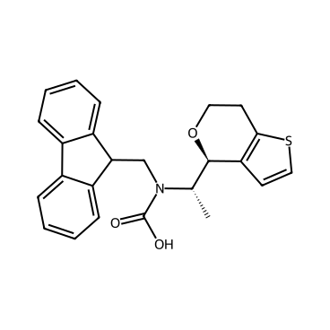 C[C@@H]([C@H]1OCCc2sccc21)N(CC1c2ccccc2-c2ccccc21)C(=O)O